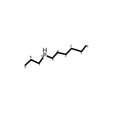 CCCCCCPCCC